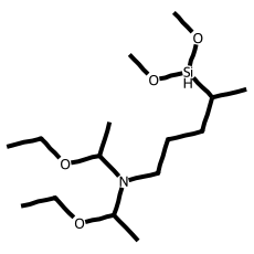 CCOC(C)N(CCCC(C)[SiH](OC)OC)C(C)OCC